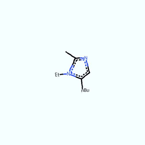 CCCCc1cnc(C)n1CC